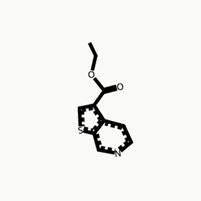 CCOC(=O)c1csc2cnccc12